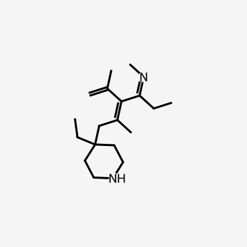 C=C(C)C(/C(CC)=N\C)=C(/C)CC1(CC)CCNCC1